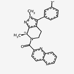 C[C@H]1c2nn(C)c(-c3cccc(Cl)c3)c2CCN1C(=O)c1ccc2ncccc2n1